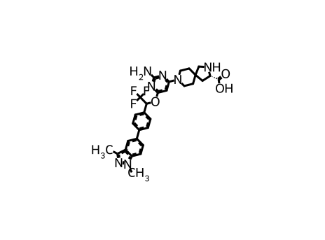 Cc1nn(C)c2ccc(-c3ccc(C(Oc4cc(N5CCC6(CC5)CN[C@H](C(=O)O)C6)nc(N)n4)C(F)(F)F)cc3)cc12